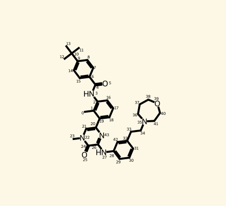 Cc1c(NC(=O)c2ccc(C(C)(C)C)cc2)cccc1-c1cn(C)c(=O)c(Nc2cccc(CCN3CCCOCC3)c2)n1